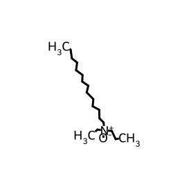 CCCCCCCCCCCCCC[N+]([O-])(CC)CCC